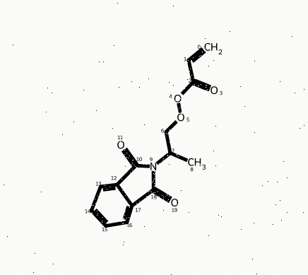 C=CC(=O)OOCC(C)N1C(=O)c2ccccc2C1=O